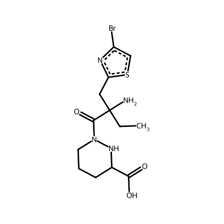 CCC(N)(Cc1nc(Br)cs1)C(=O)N1CCCC(C(=O)O)N1